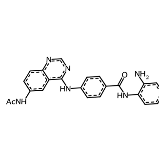 CC(=O)Nc1ccc2ncnc(Nc3ccc(C(=O)Nc4ccccc4N)cc3)c2c1